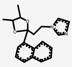 CC1OC(CCn2ccnc2)(c2cccc3ccccc23)OC1C